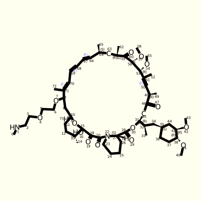 CNCCOCCOC1C[C@@H]2CC[C@@H](C)[C@@](O)(O2)C(=O)C(=O)N2CCCC[C@H]2C(=O)O[C@H]([C@H](C)C[C@@H]2CC[C@@H](OC)[C@H](OC)C2)CC(=O)[C@H](C)/C=C(\C)[C@@H](OC)[C@@H](OC)C(=O)[C@H](C)C[C@H](C)/C=C/C=C/C=C/1C